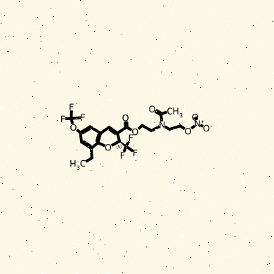 CCc1cc(OC(F)(F)F)cc2c1O[C@H](C(F)(F)F)C(C(=O)OCCN(CCO[N+](=O)[O-])C(C)=O)=C2